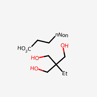 CCC(CO)(CO)CO.CCCCCCCCCCCC(=O)O